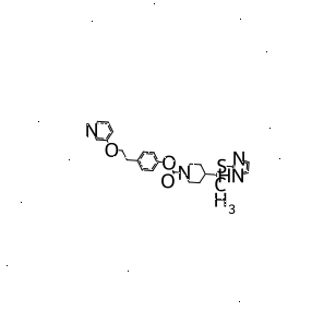 CC(Sc1ncc[nH]1)C1CCN(C(=O)Oc2ccc(CCOc3cccnc3)cc2)CC1